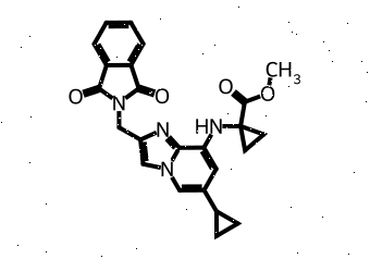 COC(=O)C1(Nc2cc(C3CC3)cn3cc(CN4C(=O)c5ccccc5C4=O)nc23)CC1